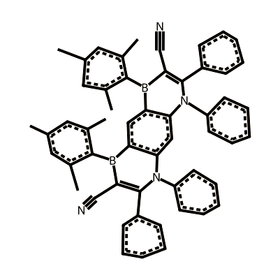 Cc1cc(C)c(B2C(C#N)=C(c3ccccc3)N(c3ccccc3)c3cc4c(cc32)B(c2c(C)cc(C)cc2C)C(C#N)=C(c2ccccc2)N4c2ccccc2)c(C)c1